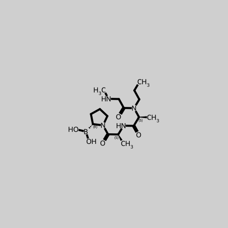 CCCN(C(=O)CNC)[C@@H](C)C(=O)N[C@@H](C)C(=O)N1CCC[C@H]1B(O)O